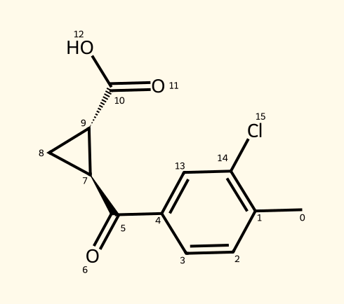 Cc1ccc(C(=O)[C@H]2C[C@@H]2C(=O)O)cc1Cl